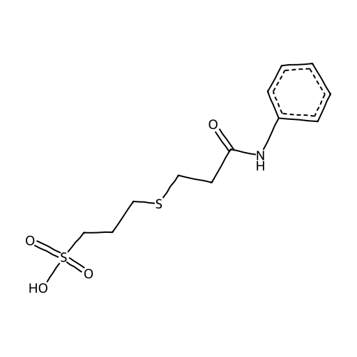 O=C(CCSCCCS(=O)(=O)O)Nc1ccccc1